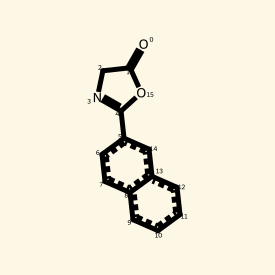 O=C1CN=C(c2ccc3ccccc3c2)O1